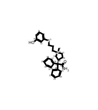 C[N+]1(CCCSc2cccc(O)c2)CC[C@@H](C(C(N)=O)(c2ccccc2)c2ccccc2)C1